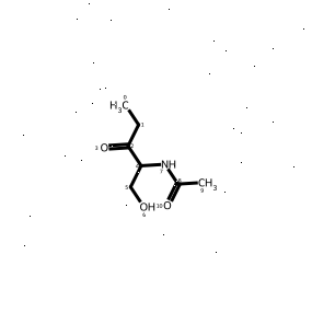 CCC(=O)C(CO)NC(C)=O